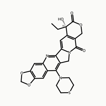 CC[C@@]1(O)C(=O)OCc2c1cc1n(c2=O)Cc2c-1nc1cc3c(cc1c2N1CCSCC1)OCO3